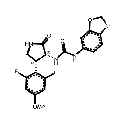 COc1cc(F)c([C@@H]2CNC(=O)[C@@H]2NC(=O)Nc2ccc3c(c2)OCO3)c(F)c1